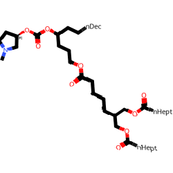 CCCCCCCCCCCCC(CCCOC(=O)CCCCC(COC(=O)CCCCCCC)COC(=O)CCCCCCC)OC(=O)O[C@@H]1CCN(C)C1